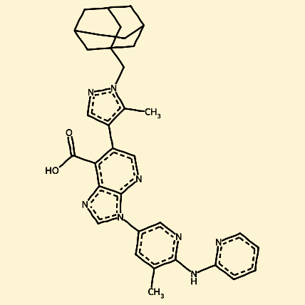 Cc1cc(-n2cnc3c(C(=O)O)c(-c4cnn(CC56CC7CC(CC(C7)C5)C6)c4C)cnc32)cnc1Nc1ccccn1